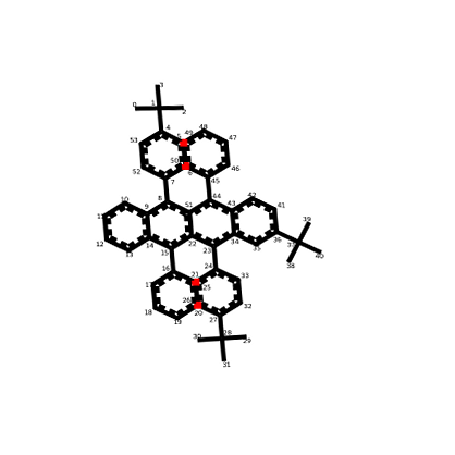 CC(C)(C)c1ccc(-c2c3ccccc3c(-c3ccccc3)c3c(-c4ccc(C(C)(C)C)cc4)c4cc(C(C)(C)C)ccc4c(-c4ccccc4)c23)cc1